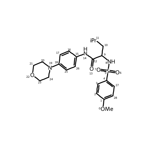 COc1ccc(S(=O)(=O)NC(CC(C)C)C(=O)Nc2ccc(N3CCOCC3)cc2)cc1